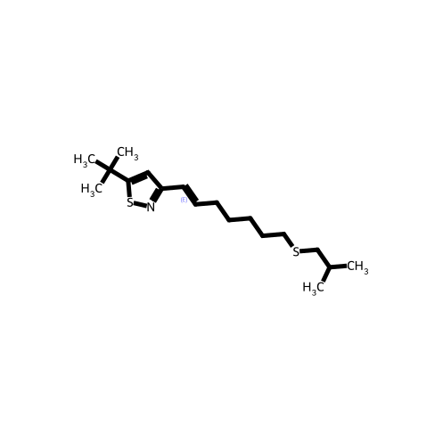 CC(C)CSCCCCC/C=C/c1cc(C(C)(C)C)sn1